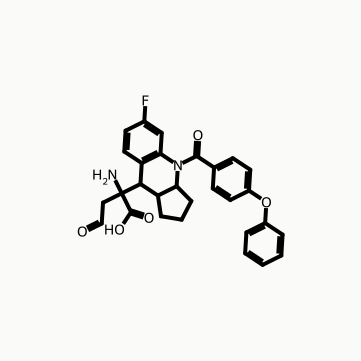 NC(CC=O)(C(=O)O)C1c2ccc(F)cc2N(C(=O)c2ccc(Oc3ccccc3)cc2)C2CCCC21